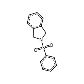 O=S(=O)(c1ccccc1)N1Cc2ccccc2C1